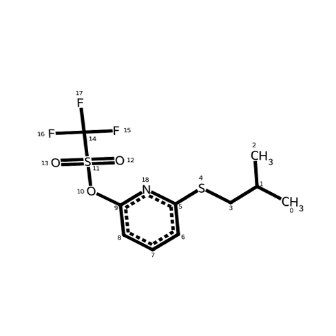 CC(C)CSc1cccc(OS(=O)(=O)C(F)(F)F)n1